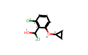 OC(Cl)c1c(Cl)cccc1OC1CC1